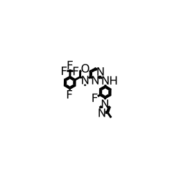 Cc1cn(-c2ccc(Nc3ncc4c(n3)N(C)C(c3cc(F)ccc3C(F)(F)F)CO4)cc2F)cn1